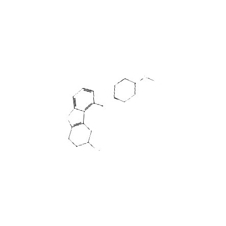 CN[C@H]1CC[C@H](Cc2cccc3sc4c(c23)CC(C)CC4)CC1